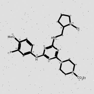 CCOC(=O)N1CCN(c2nc(NCC3CCCN3CC)nc(Nc3ccc(OC)c(F)c3)n2)CC1